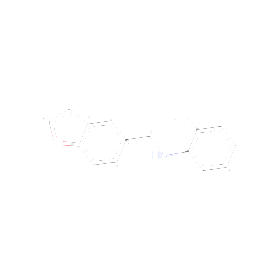 O=C(O)c1ccccc1NCc1ccc2occc2c1